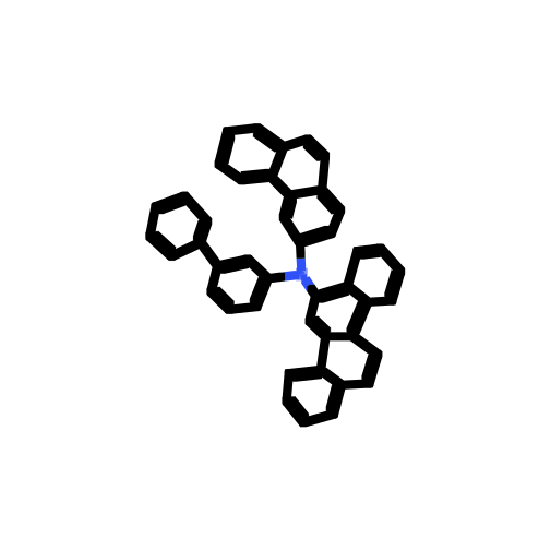 c1ccc(-c2cccc(N(c3ccc4ccc5ccccc5c4c3)c3cc4c5ccccc5ccc4c4ccccc34)c2)cc1